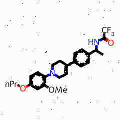 CCCOc1ccc(N2CC=C(c3ccc(C(C)NC(=O)C(F)(F)F)cc3)CC2)c(OC)c1